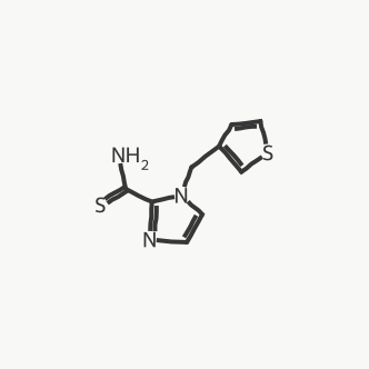 NC(=S)c1nccn1Cc1ccsc1